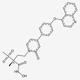 C[C@@](CCn1ccc(-c2ccc(Oc3ccnc4ccccc34)cc2)cc1=O)(C(=O)NO)S(C)(=O)=O